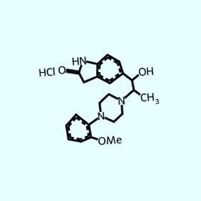 COc1ccccc1N1CCN(C(C)C(O)c2ccc3c(c2)CC(=O)N3)CC1.Cl